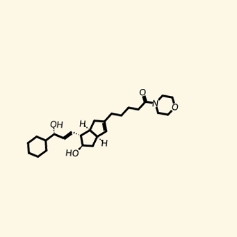 O=C(CCCCC1=C[C@H]2C[C@@H](O)[C@H](/C=C/[C@@H](O)C3CCCCC3)[C@H]2C1)N1CCOCC1